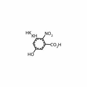 O=C(O)c1cc(O)ccc1[N+](=O)[O-].[KH].[KH]